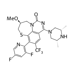 CO[C@@H]1CSc2c(-c3ncc(F)cc3F)c(C(F)(F)F)cc3c(N4C[C@@H](C)N[C@@H](C)C4)nc(=O)n(c23)C1